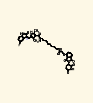 Cc1[nH]c(/C=C2\C(=O)Nc3ccc(F)cc32)c(C)c1C(=O)NCCCCCCCCNC(=O)COc1cccc2c1C(=O)N(C1CCC(=O)NC1=O)C2=O